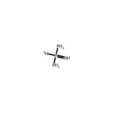 [3H]P(=N)(P)P